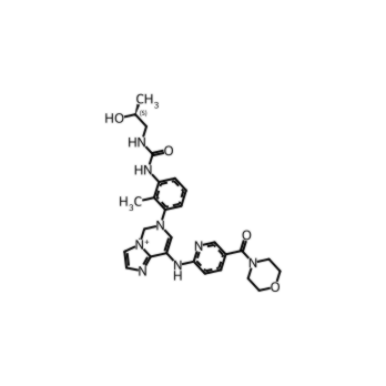 Cc1c(NC(=O)NC[C@H](C)O)cccc1N1C=C(Nc2ccc(C(=O)N3CCOCC3)cn2)C2=NC=C[N+]2C1